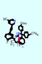 COc1ccc(C(NC2=N[C@](C)(c3cc(C#Cc4cncc(C#N)c4)ccc3F)C[C@@H](C(F)(F)F)O2)(c2ccccc2)c2ccc(OC)cc2)cc1